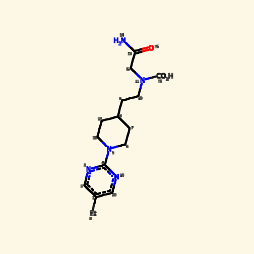 CCc1cnc(N2CCC(CCN(CC(N)=O)C(=O)O)CC2)nc1